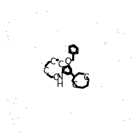 c1ccc(COc2cc(C3CCCCCCCCC3)cc3c2CCCCCCCCCN3)cc1